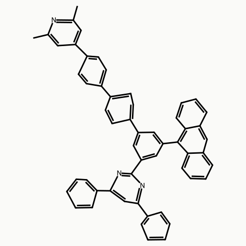 Cc1cc(-c2ccc(-c3ccc(-c4cc(-c5nc(-c6ccccc6)cc(-c6ccccc6)n5)cc(-c5c6ccccc6cc6ccccc56)c4)cc3)cc2)cc(C)n1